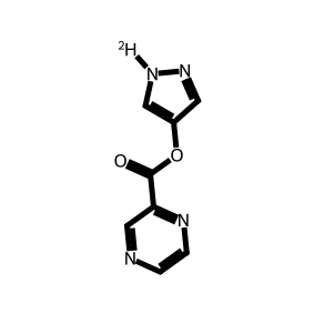 [2H]n1cc(OC(=O)c2cnccn2)cn1